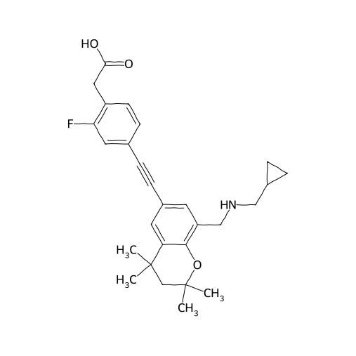 CC1(C)CC(C)(C)c2cc(C#Cc3ccc(CC(=O)O)c(F)c3)cc(CNCC3CC3)c2O1